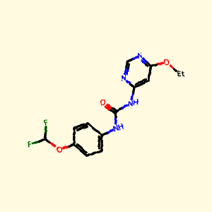 CCOc1cc(NC(=O)Nc2ccc(OC(F)F)cc2)ncn1